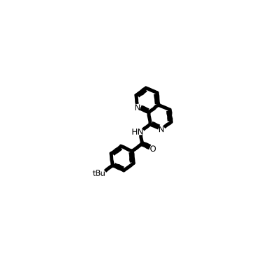 CC(C)(C)c1ccc(C(=O)Nc2nccc3cccnc23)cc1